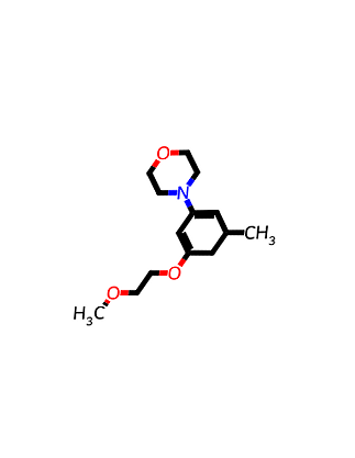 COCCOC1=CC(N2CCOCC2)=CC(C)C1